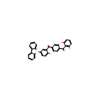 O=c1c2cc(-n3c4ccccc4c4ccccc43)ccc2oc2cc3c(=O)c4c(F)cccc4oc3cc12